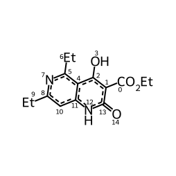 CCOC(=O)c1c(O)c2c(CC)nc(CC)cc2[nH]c1=O